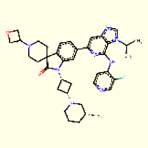 CC(C)n1cnc2cc(-c3ccc4c(c3)N([C@H]3C[C@@H](N5CCC[C@@H](C)C5)C3)C(=O)C43CCN(C4COC4)CC3)nc(Nc3ccncc3F)c21